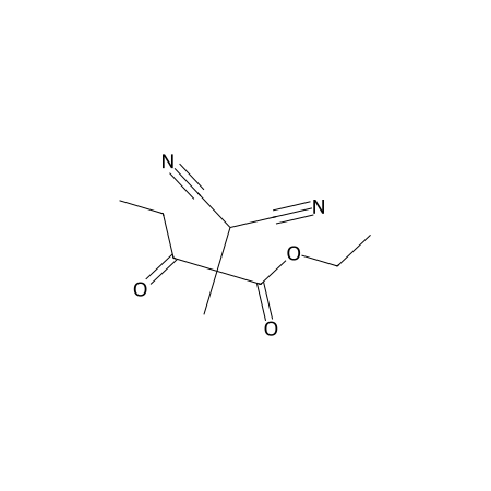 CCOC(=O)C(C)(C(=O)CC)C(C#N)C#N